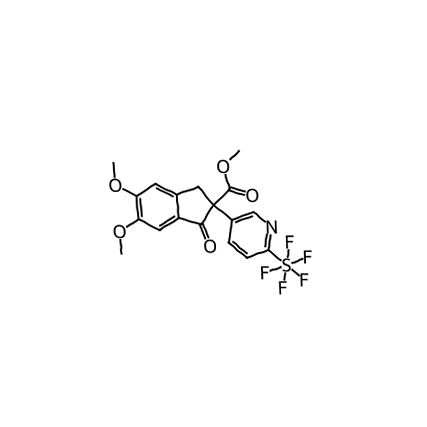 COC(=O)C1(c2ccc(S(F)(F)(F)(F)F)nc2)Cc2cc(OC)c(OC)cc2C1=O